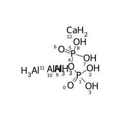 O=P(O)(O)OP(=O)(O)O.[AlH3].[AlH3].[AlH3].[CaH2]